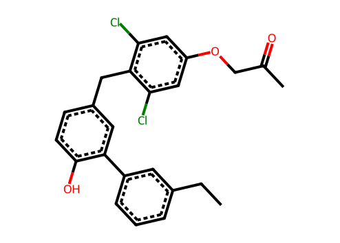 CCc1cccc(-c2cc(Cc3c(Cl)cc(OCC(C)=O)cc3Cl)ccc2O)c1